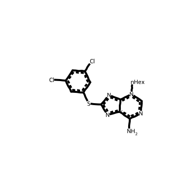 CCCCCCn1cnc(N)c2nc(Sc3cc(Cl)cc(Cl)c3)nc1-2